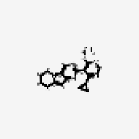 COc1ncnc(C2CC2)c1-c1ncc2c(cc3n2CCCC3)n1